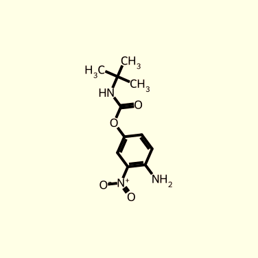 CC(C)(C)NC(=O)Oc1ccc(N)c([N+](=O)[O-])c1